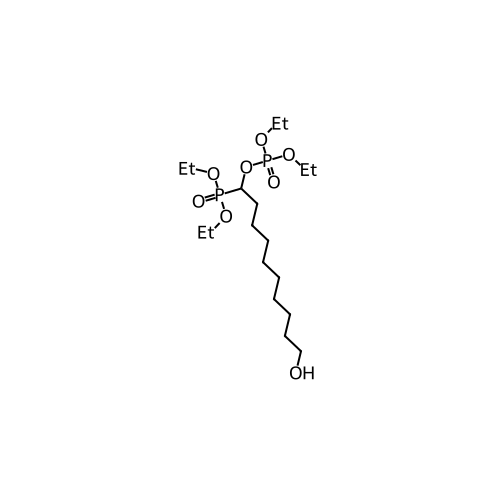 CCOP(=O)(OCC)OC(CCCCCCCCCO)P(=O)(OCC)OCC